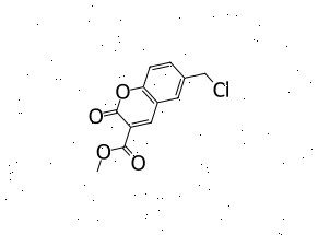 COC(=O)c1cc2cc(CCl)ccc2oc1=O